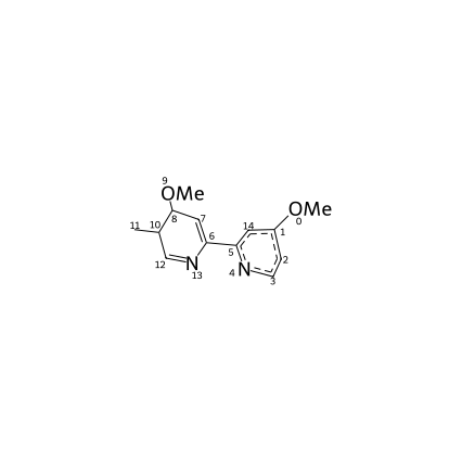 COc1ccnc(C2=CC(OC)C(C)C=N2)c1